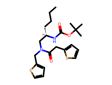 [CH2]CCC[C@@H](CN(Cc1cccs1)C(=O)Cc1cccs1)NC(=O)OC(C)(C)C